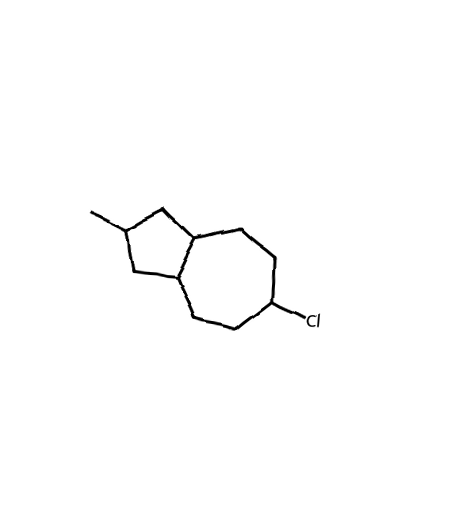 CC1CC2CCC(Cl)CCC2C1